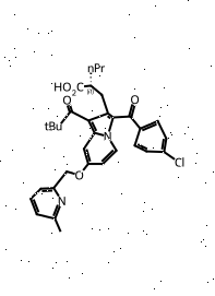 CCC[C@H](Cc1c(C(=O)C(C)(C)C)c2cc(OCc3cccc(C)n3)ccn2c1C(=O)c1ccc(Cl)cc1)C(=O)O